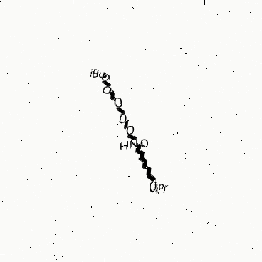 CCC(C)OCCOCCOCCOCCOCCNC(=O)CCCCCCCCOC(C)C